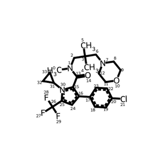 CN(CC(C)(C)CN1CCOCC1)C(=O)c1c(-c2ccc(Cl)cc2)cc(C(F)(F)F)n1C1CC1